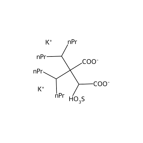 CCCC(CCC)C(C(=O)[O-])(C(CCC)CCC)C(C(=O)[O-])S(=O)(=O)O.[K+].[K+]